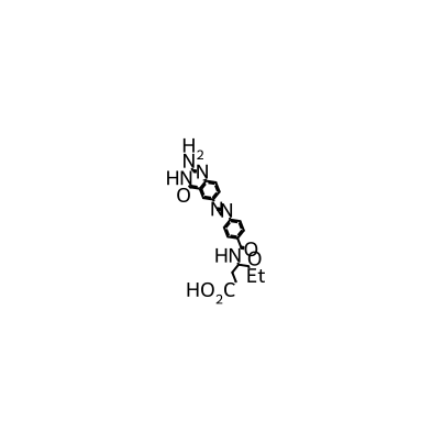 CCC(=O)C(CCC(=O)O)NC(=O)c1ccc(/N=N/c2ccc3nc(N)[nH]c(=O)c3c2)cc1